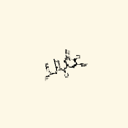 O=C(NCC(F)F)c1c[nH]c(=O)c(Br)c1